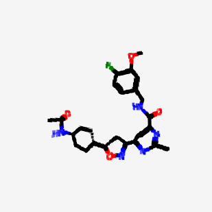 COc1cc(CNC(=O)c2cc(C3=NO[C@@H]([C@H]4CC[C@H](NC(C)=O)CC4)C3)nc(C)n2)ccc1F